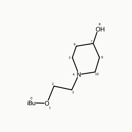 CCC(C)OCCN1CCC(O)CC1